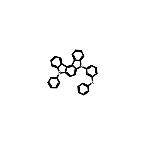 c1ccc(Sc2cccc(-n3c4ccccc4c4c5c6ccccc6n(-c6ccccc6)c5ccc43)c2)cc1